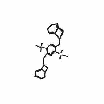 C[Si](C)(C)c1cc(CC2Cc3ccccc32)c([Si](C)(C)C)cc1CC1Cc2ccccc21